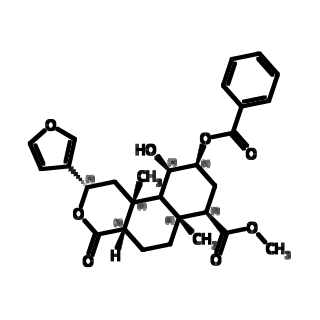 COC(=O)[C@@H]1C[C@H](OC(=O)c2ccccc2)[C@H](O)C2[C@@]3(C)C[C@@H](c4ccoc4)OC(=O)[C@H]3CC[C@]21C